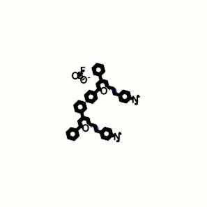 CN(C)c1ccc(/C=C/c2cc(-c3ccccc3)cc(-c3ccccc3)[o+]2)cc1.CN(C)c1ccc(/C=C/c2cc(-c3ccccc3)cc(-c3ccccc3)[o+]2)cc1.[O-]B([O-])F